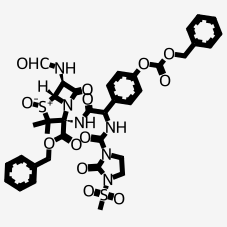 CC1(C)[S+]([O-])[C@@H]2[C@@H](NC=O)C(=O)N2[C@@]1(NC(=O)C(NC(=O)N1CCN(S(C)(=O)=O)C1=O)c1ccc(OC(=O)OCc2ccccc2)cc1)C(=O)OCc1ccccc1